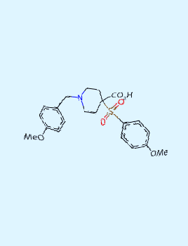 COc1ccc(CN2CCC(C(=O)O)(S(=O)(=O)c3ccc(OC)cc3)CC2)cc1